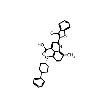 Cc1c(-c2cc(C(=O)O)c3c(O[C@H]4CC[C@H](c5ccccc5)CC4)ccc(C)c3n2)oc2ccccc12